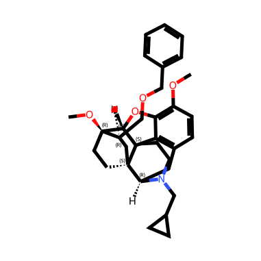 COc1ccc2c3c1O[C@H]1[C@@]4(OC)CC[C@@]5(C[C@]4(C)COCc4ccccc4)[C@@H](C2)N(CC2CC2)CC[C@]315